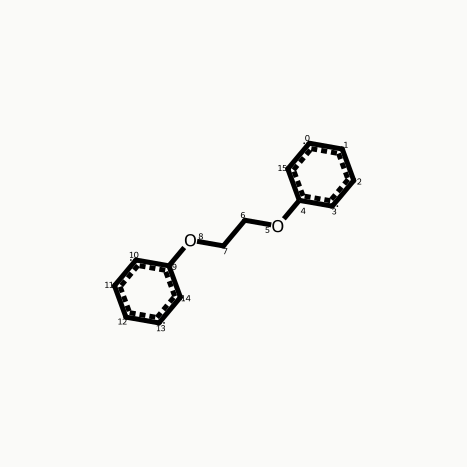 [c]1cc[c]c(OCCOc2[c]cc[c]c2)c1